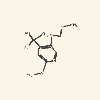 COCOc1cnc(OC)cc1C(C)(C)O